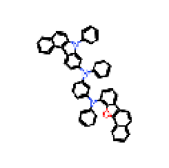 c1ccc(N(c2cccc(N(c3ccccc3)c3cccc4c3oc3c5ccccc5ccc43)c2)c2ccc3c4c5ccccc5ccc4n(-c4ccccc4)c3c2)cc1